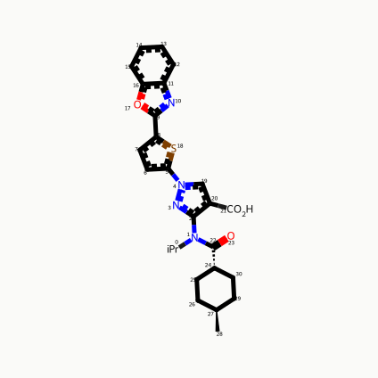 CC(C)N(c1nn(-c2ccc(-c3nc4ccccc4o3)s2)cc1C(=O)O)C(=O)[C@H]1CC[C@H](C)CC1